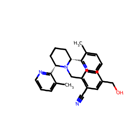 Cc1cccnc1[C@H]1CCC[C@@H](c2ncccc2C)N1Cc1ccc(CO)cc1C#N